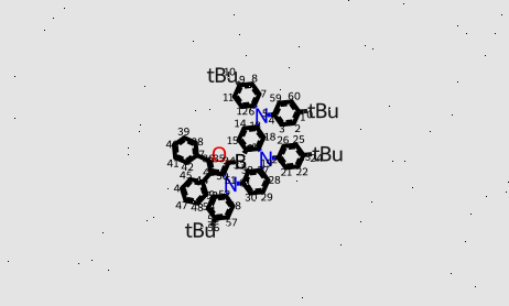 CC(C)(C)c1ccc(N(c2ccc(C(C)(C)C)cc2)c2ccc3c(c2)N(c2ccc(C(C)(C)C)cc2)c2cccc4c2B3c2oc(-c3ccccc3)c(-c3ccccc3)c2N4c2ccc(C(C)(C)C)cc2)cc1